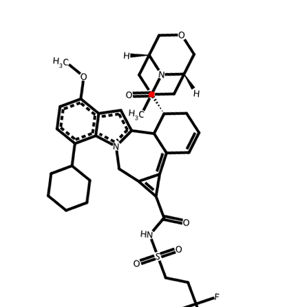 COc1ccc(C2CCCCC2)c2c1cc1n2CC2=C(C(=O)NS(=O)(=O)CCC(F)(F)F)C2=C2C=CC[C@@H](C(=O)N3[C@@H]4COC[C@H]3CN(C)C4)C21